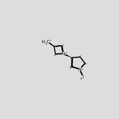 CC1CN([C@H]2CCN(I)C2)C1